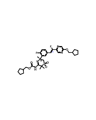 CC1(C)C(NC(=O)OCC2CCCC2)=N[C@](C)(c2cc(/C=C(\F)c3cnc(OCC4CCCC4)cn3)ccc2F)CS1(=O)=O